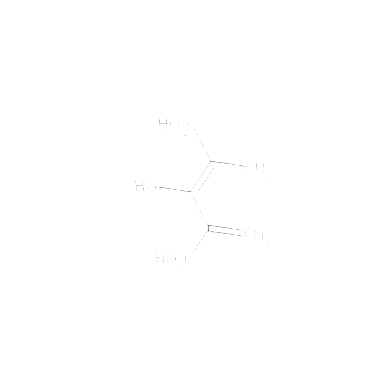 C=C(C(=O)O)C(O)=C(C)C(=O)O